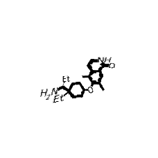 CC[C@@H](N)[C@]1(CC)CC[C@@H](Oc2c(C)cc3c(=O)[nH]ccc3c2C)CC1